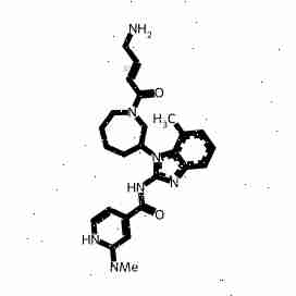 CNC1C=C(C(=O)Nc2nc3cccc(C)c3n2C2CCCCN(C(=O)/C=C/CN)C2)C=CN1